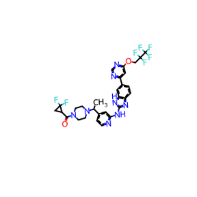 CC(c1ccnc(Nc2nc3ccc(-c4cc(OCC(F)(F)C(F)(F)F)ncn4)cc3[nH]2)c1)N1CCN(C(=O)C2CC2(F)F)CC1